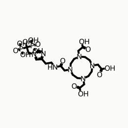 O=C(O)CN1CCN(CC(=O)O)CCN(CC(=O)NCCc2cn(CC(O)(P(=O)(O)O)P(=O)(O)O)cn2)CCN(CC(=O)O)CC1